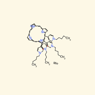 CCCCCN1C=CC(c2c(C3=CCN(CCCCC)C=C3)c3c(C4=CCN(CCCCC)C=C4)c4nc(cc5ccc(cc6nc(cc2n3C2=CCN(CCCCC)C=C2)C=C6)[nH]5)C=C4)=CC1.[Mn]